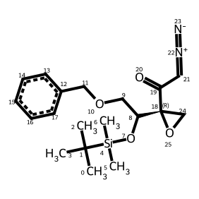 CC(C)(C)[Si](C)(C)OC(COCc1ccccc1)[C@@]1(C(=O)C=[N+]=[N-])CO1